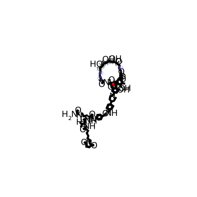 CO[C@H]1/C=C/O[C@@]2(C)Oc3c(C)c(O)c4c(=O)c(c5oc6cc(N7CCC(c8ccc(NOCc9ccc(NC(=O)[C@H](CCCNC(N)=O)NC(=O)[C@@H](NC(=O)CCCCCN%10C(=O)C=CC%10=O)C(C)C)cc9)cc8)CC7)cc(O)c6nc-5c4c3C2=O)NC(=O)/C(C)=C\C=C\[C@H](C)[C@H](O)[C@@H](C)[C@@H](O)[C@@H](C)[C@H](O)[C@@H]1C